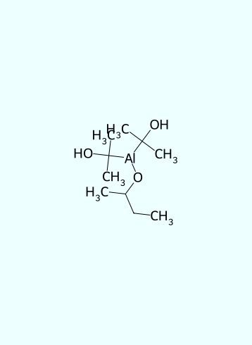 CCC(C)[O][Al]([C](C)(C)O)[C](C)(C)O